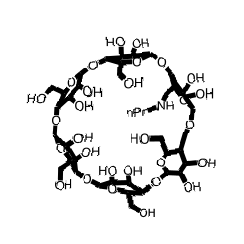 CCCNCC1OC2OC3C(CO)OC(OC4C(CO)OC(OC5C(CO)OC(OC6C(CO)OC(OC7C(CO)OC(OC1C(O)C2O)C(O)C7O)C(O)C6O)C(O)C5O)C(O)C4O)C(O)C3O